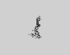 C[C@H](CO)Nc1nc(Nc2ccc(/[SH](=O)=N/CCN3CCN(C)CC3)cc2)ncc1-c1cccs1